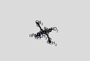 C=CC(=O)OCCCCCOc1cc(/N=N/c2ccc([N+](=O)[O-])cc2Br)c(OCCCCCOC(=O)C=C)cc1/N=N/c1ccc(N(CCC)CCC)cc1C